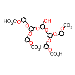 O=C(O)COc1cccc(COc2cc(COc3cc(CO)cc(OCc4cc(OCc5cccc(OCC(=O)O)c5)cc(OCc5cccc(OCC(=O)O)c5)c4)c3)cc(OCc3cccc(OCC(=O)O)c3)c2)c1